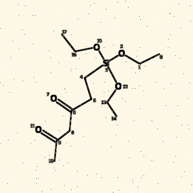 CCO[Si](CCC(=O)CC(C)=O)(OCC)OCC